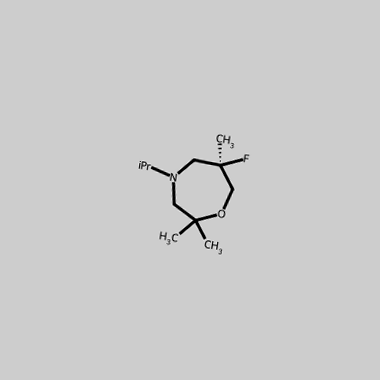 CC(C)N1CC(C)(C)OC[C@](C)(F)C1